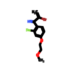 C=C(Br)C(=N)c1ccc(OCCOC)cc1F